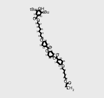 C=CC(=O)OCCCCCCOc1ccc(C(=O)Oc2ccc(OC(=O)c3ccc(OCCCCCCCCOC(=O)c4cc(C(C)(C)C)c(O)c(C(C)(C)C)c4)cc3)cc2)cc1